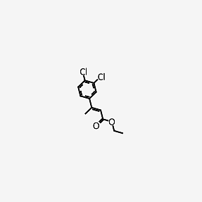 CCOC(=O)C=C(C)c1ccc(Cl)c(Cl)c1